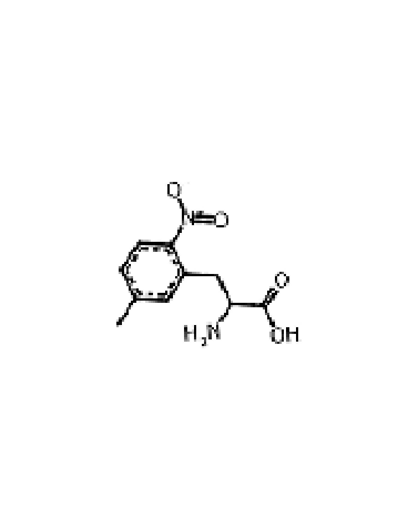 Cc1ccc([N+](=O)[O-])c(CC(N)C(=O)O)c1